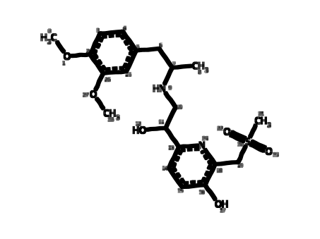 COc1ccc(CC(C)NCC(O)c2ccc(O)c(CS(C)(=O)=O)n2)cc1OC